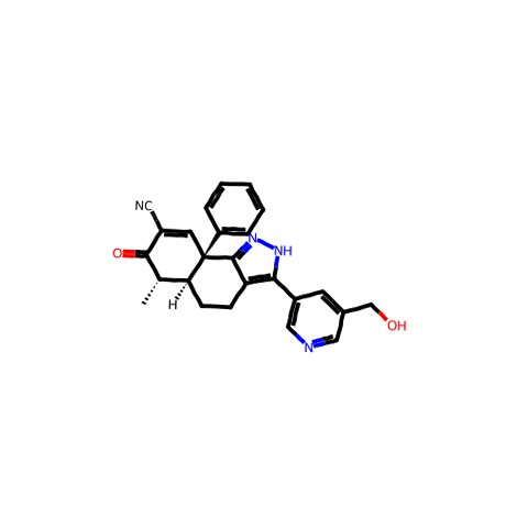 C[C@@H]1C(=O)C(C#N)=C[C@]2(c3ccccc3)c3n[nH]c(-c4cncc(CO)c4)c3CC[C@@H]12